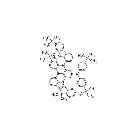 CC(C)(C)c1ccc(N(c2ccc(C(C)(C)C)cc2)c2cc3c4c(c2)-n2c5c(c6cccc(c62)B4c2ccc(C(C)(C)C)cc2N3c2cccc3c2sc2cc(C(C)(C)C)ccc23)C(C)(C)c2ccccc2-5)cc1